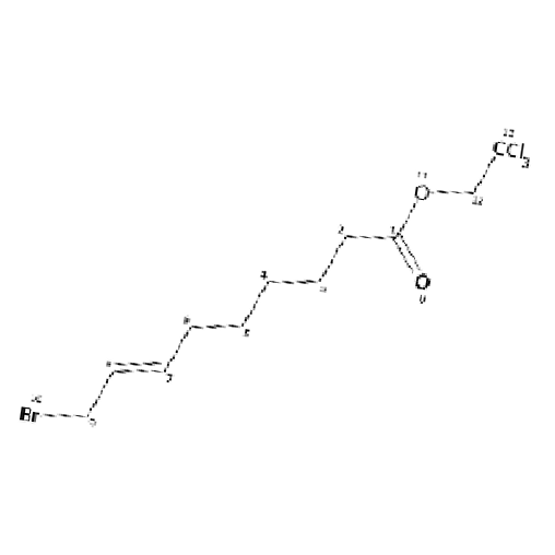 O=C(CCCCCC=CCBr)OCC(Cl)(Cl)Cl